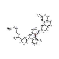 C=C(CC/C=C\C)C1=NC(C/N=C(\C=C/C/C=C\C)/C=C\C(=C/C=C\C)c2ccc3ccc4c(c3n2)N=C(C)CC4)=CCC1